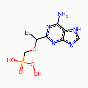 CCC(OCP(=O)(O)OO)c1nc(N)c2[nH]cnc2n1